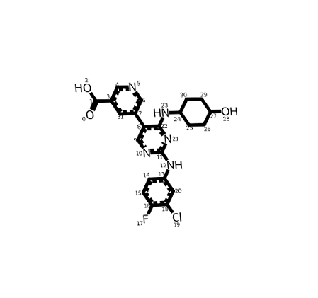 O=C(O)c1cncc(-c2cnc(Nc3ccc(F)c(Cl)c3)nc2NC2CCC(O)CC2)c1